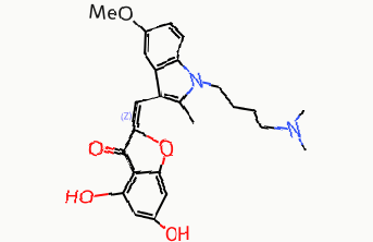 COc1ccc2c(c1)c(/C=C1\Oc3cc(O)cc(O)c3C1=O)c(C)n2CCCCN(C)C